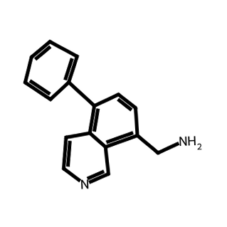 NCc1ccc(-c2ccccc2)c2ccncc12